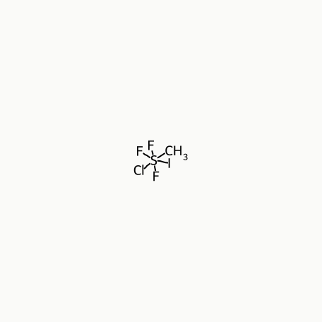 CS(F)(F)(F)(Cl)I